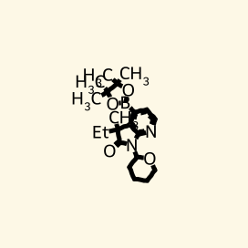 CCC1(C)C(=O)N(C2CCCCO2)c2nccc(B3OC(C)(C)C(C)(C)O3)c21